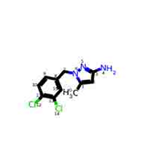 Cc1cc(N)nn1Cc1ccc(Cl)c(Cl)c1